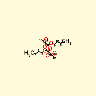 CCCCOC1(OC2(OCCCC)OC23CO3)OC12CO2